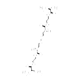 C=C(C)C(=O)OCCOC(=O)NCCSSCCNC(=O)OCCOC(=O)C(=C)C